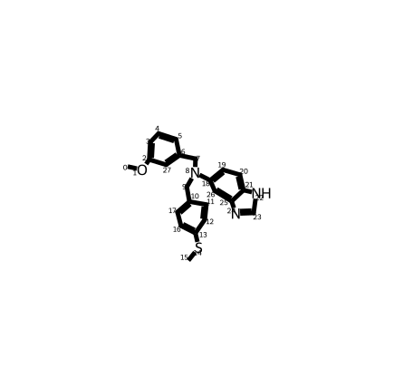 COc1cccc(CN(Cc2ccc(SC)cc2)c2ccc3[nH]cnc3c2)c1